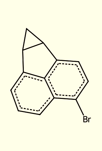 Brc1ccc2c3c(cccc13)C1CC21